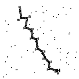 B=S=S=S=S=S=S=S=S=S=S=S=S